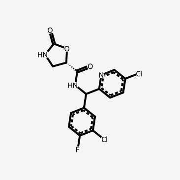 O=C1NC[C@@H](C(=O)NC(c2ccc(F)c(Cl)c2)c2ccc(Cl)cn2)O1